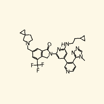 Cn1cnnc1-c1ccncc1-c1cc(NCCC2CC2)nc(N2Cc3c(cc(CN4CCC5(CC5)C4)cc3C(F)(F)F)C2=O)c1